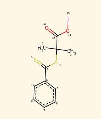 CC(C)(SC(=S)c1ccccc1)C(=O)OI